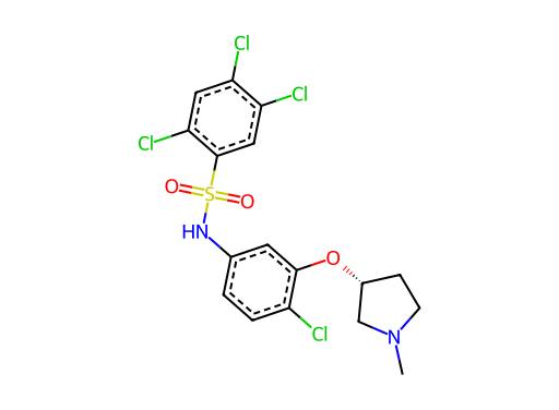 CN1CC[C@@H](Oc2cc(NS(=O)(=O)c3cc(Cl)c(Cl)cc3Cl)ccc2Cl)C1